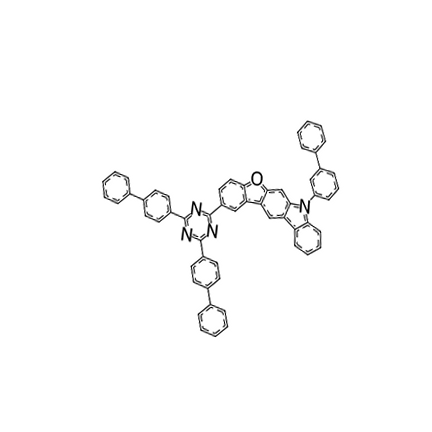 c1ccc(-c2ccc(-c3nc(-c4ccc(-c5ccccc5)cc4)nc(-c4ccc5oc6cc7c(cc6c5c4)c4ccccc4n7-c4cccc(-c5ccccc5)c4)n3)cc2)cc1